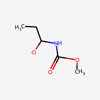 CCC([O])NC(=O)OC